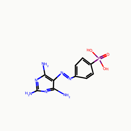 Nc1nc(N)c(N=Nc2ccc(P(=O)(O)O)cc2)c(N)n1